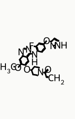 C=CC(=O)N1CCC(Oc2cc3c(Nc4ccc(Oc5cc[nH]n5)cc4F)ncnc3cc2OC)CC1